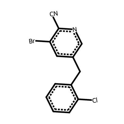 N#Cc1ncc(Cc2ccccc2Cl)cc1Br